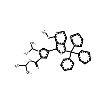 COc1nccc2c1c(-c1cc(C(=O)OC(C)C)n(C(C)C)c1)nn2C(c1ccccc1)(c1ccccc1)c1ccccc1